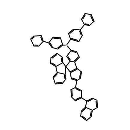 c1ccc(-c2ccc(N(c3ccc(-c4ccccc4)cc3)c3ccc4c(c3)C3(c5ccccc5-c5ccccc53)c3cc(-c5cccc(-c6cccc7ccccc67)c5)ccc3-4)cc2)cc1